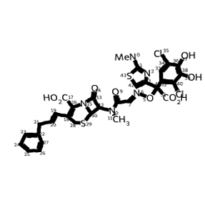 CNc1nc(C(ON=CC(=O)N(C)C2C(=O)N3C(C(=O)O)=C(C=CCc4ccccc4)CSC23)(C(=O)O)c2cc(Cl)c(O)c(O)c2Cl)cs1